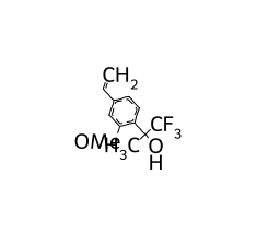 C=Cc1ccc(C(C)(O)C(F)(F)F)c(OC)c1